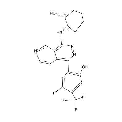 Oc1cc(C(F)(F)F)c(F)cc1-c1nnc(N[C@H]2CCCC[C@H]2O)c2cnccc12